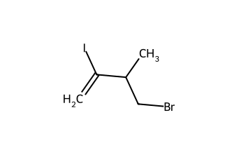 C=C(I)C(C)CBr